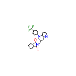 O=C1c2ccccc2C(=O)N1CC1Cc2ncccc2N(c2ccc(C(F)(F)F)cc2)C1